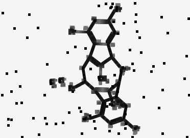 CCC1CC2=C(C)[CH]([Zr+2][CH]3C(C)=C1c1c(C(C)C)cc(C(C)C)cc13)c1cc(C(C)C)cc(C(C)C)c12.[Cl-].[Cl-]